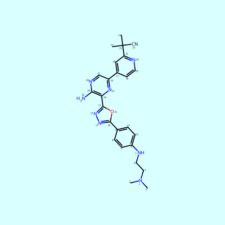 CN(C)CCNc1ccc(-c2nnc(-c3nc(-c4ccnc(C(C)(C)C#N)c4)cnc3N)o2)cc1